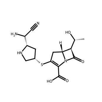 C[C@@H](O)[C@H]1C(=O)N2C(C(=O)O)=C(S[C@@H]3CN[C@H](C(N)C#N)C3)C[C@H]12